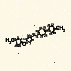 Cc1ccc(Oc2ccc(CCC3=CCC=C(c4ccc(C)cc4)C=C3)cc2)cc1